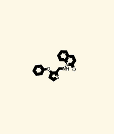 O=c1ccc2ccccc2n1NCc1sccc1Oc1ccccc1